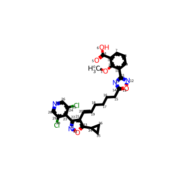 COc1c(C(=O)O)cccc1-c1noc(CCCC/C=C/c2c(-c3c(Cl)cncc3Cl)noc2C2CC2)n1